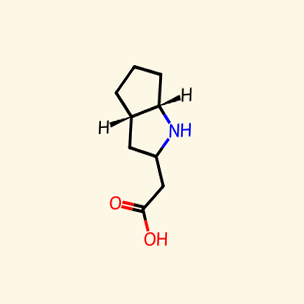 O=C(O)CC1C[C@@H]2CCC[C@@H]2N1